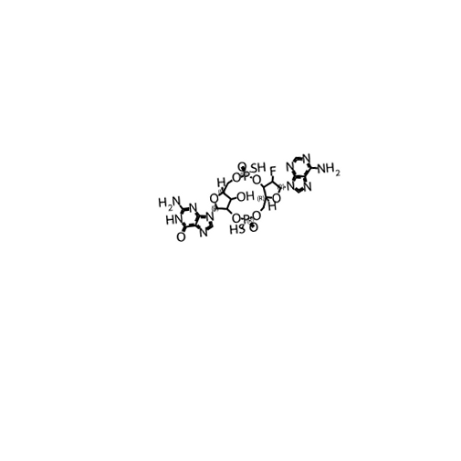 Nc1nc2c(ncn2[C@@H]2O[C@@H]3CO[P@@](=O)(S)OC4C(F)[C@H](n5cnc6c(N)ncnc65)O[C@@H]4CO[P@@](=O)(S)OC2C3O)c(=O)[nH]1